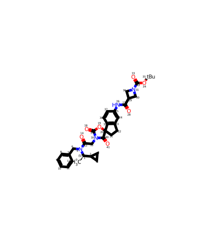 C[C@@H](C1CC1)N(Cc1ccccc1)C(=O)CN1C(=O)OC2(CCc3cc(NC(=O)C4CN(C(=O)OC(C)(C)C)C4)ccc32)C1=O